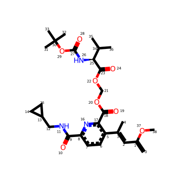 C=C(/C=C(\C)c1ccc(C(=O)NCC2CC2)nc1C(=O)OCOC(=O)[C@@H](NC(=O)OC(C)(C)C)C(C)C)OC